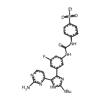 CCS(=O)(=O)c1ccc(NC(=O)Nc2cc(F)cc(-c3nc(C(C)(C)C)[nH]c3-c3ccnc(N)n3)c2)cc1